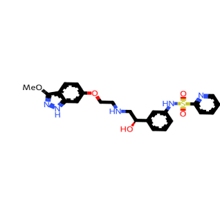 COc1n[nH]c2cc(OCCNC[C@H](O)c3cccc(NS(=O)(=O)c4ccccn4)c3)ccc12